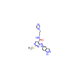 CSc1ncc(C(=O)NCCCn2ccnc2)c(Nc2ccc3[nH]ncc3c2)n1